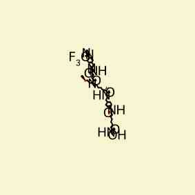 C#CCCCN(CCCCC[C@@H](C)C(=O)NCCc1ccc(NC(=O)CCCCCCC(=O)NO)cc1)C(=O)CCC(=O)N/N=C/c1ccc(C2(C(F)(F)F)N=N2)cc1